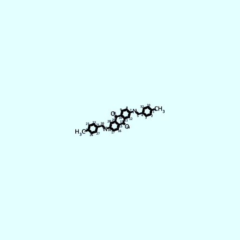 Cc1ccc(C=Nc2ccc3c(c2)C(=O)c2ccc(N=Cc4ccc(C)cc4)cc2C3=O)cc1